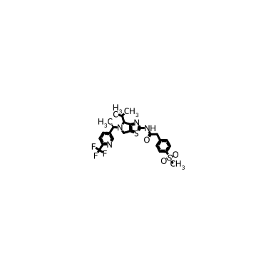 CC(C)C1c2nc(NC(=O)Cc3ccc(S(C)(=O)=O)cc3)sc2CN1[C@H](C)c1ccc(C(F)(F)F)nc1